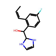 C/C=C\c1cc(F)ccc1C(O)C1NC=CN1